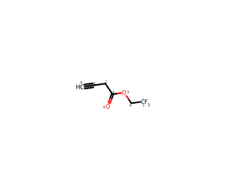 C#CCC(=O)OCC(F)(F)F